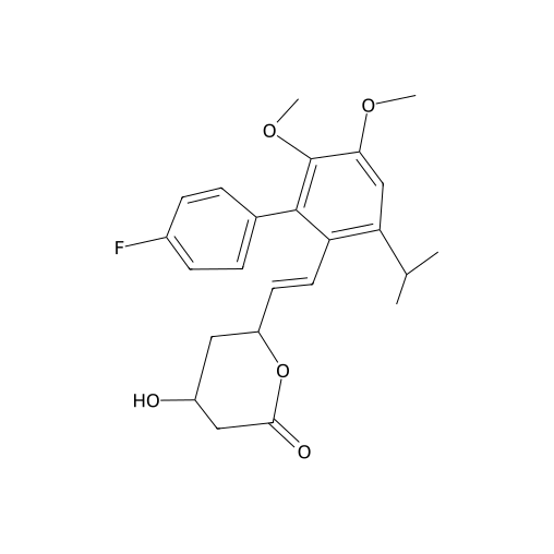 COc1cc(C(C)C)c(/C=C/C2CC(O)CC(=O)O2)c(-c2ccc(F)cc2)c1OC